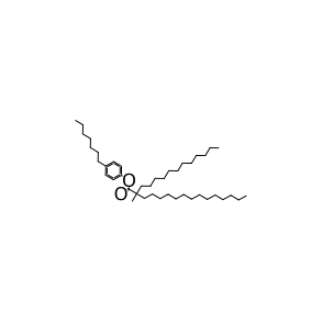 CCCCCCCCCCCCCCC(C)(CCCCCCCCCCCC)C(=O)Oc1ccc(CCCCCCC)cc1